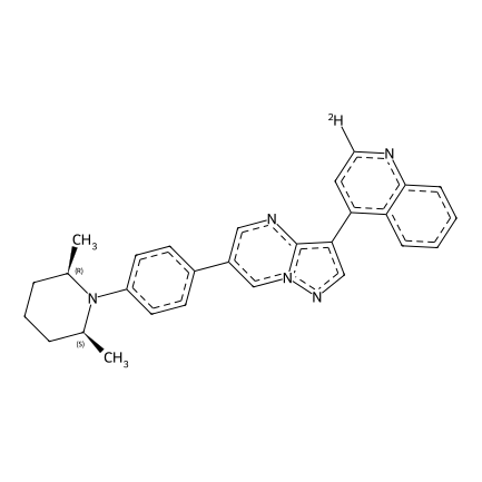 [2H]c1cc(-c2cnn3cc(-c4ccc(N5[C@H](C)CCC[C@@H]5C)cc4)cnc23)c2ccccc2n1